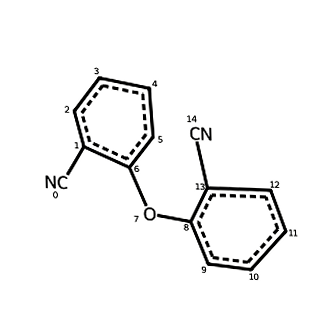 N#Cc1ccccc1Oc1ccccc1C#N